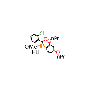 CCCOc1ccc(PC(=O)c2c(Cl)cccc2OC)c(OCCC)c1.[LiH]